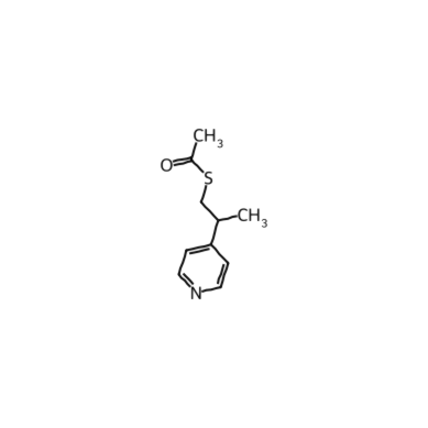 CC(=O)SCC(C)c1ccncc1